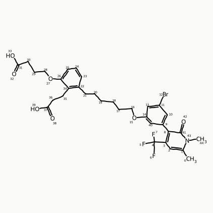 Cc1cc(C(F)(F)F)c(-c2cc(Br)cc(OCCCCCCc3cccc(OCCCC(=O)O)c3CCC(=O)O)c2)c(=O)n1C